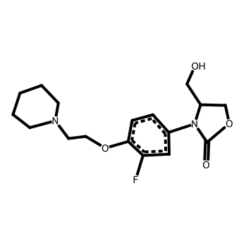 O=C1OCC(CO)N1c1ccc(OCCN2CCCCC2)c(F)c1